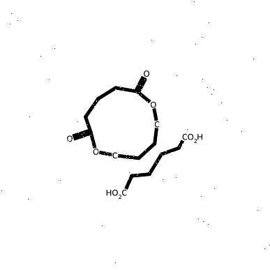 O=C(O)CCCCC(=O)O.O=C1CCCC(=O)OCCCCO1